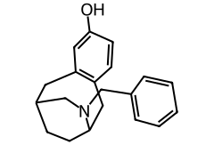 Oc1ccc2c(c1)CC1CCC(C2)N(Cc2ccccc2)C1